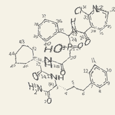 NC(=O)[C@@H](CCCc1ccccc1)NC(=O)[C@@H](NC(=O)CP(=O)(O)C(NC(=O)c1cccnc1Cl)c1ccccc1)C1CCCCC1